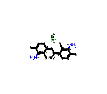 CC1=CCC(=C[C]([Ni+2])=C2CC=C(C)C(N)=C2C)C(C)=C1N.[Br-].[Br-]